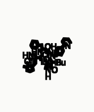 CCC(C)C(C(=O)NC(Cc1ccccc1)C(O)CNN(Cc1ccc(-c2ccccn2)cc1)C(=O)C(C(C)CC)N1CCNC1=O)C1CNC(=O)N1Cc1cccc(C)n1